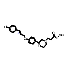 CC(C)(C)OC(=O)CCN1CCOC(c2ccc(OC/C=C/c3ccc(Cl)cc3)cc2)C1